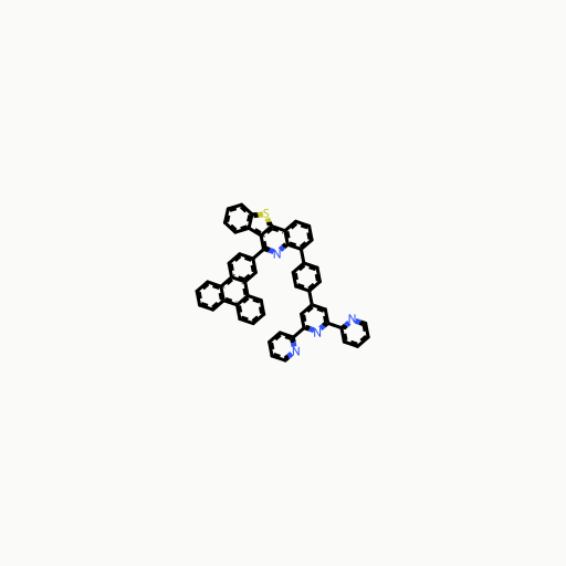 c1ccc(-c2cc(-c3ccc(-c4cccc5c4nc(-c4ccc6c7ccccc7c7ccccc7c6c4)c4c6ccccc6sc54)cc3)cc(-c3ccccn3)n2)nc1